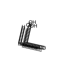 O.O.O.O.O.O.O.O.O.O.O.O.O.O.O.O.O.O.O.O.O.O.O.O.O.O.O=[Si](O)O